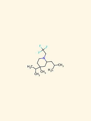 CC(C)CC1CC(C)(C(C)C)CCN1CC(F)(F)F